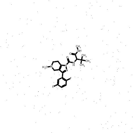 CNC(=O)C(NC(=O)n1nc(-c2cc(F)ccc2F)c2c1CCN(C)C2)C(C)(C)C